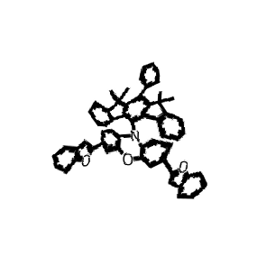 CC1(C)c2ccccc2-c2c(N3c4ccc(-c5cc6ccccc6o5)cc4Oc4cc(-c5cc6ccccc6o5)ccc43)c3c(c(-c4ccccc4)c21)C(C)(C)c1ccccc1-3